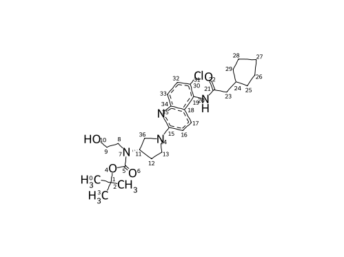 CC(C)(C)OC(=O)N(CCO)[C@H]1CCN(c2ccc3c(NC(=O)CC4CCCCC4)c(Cl)ccc3n2)C1